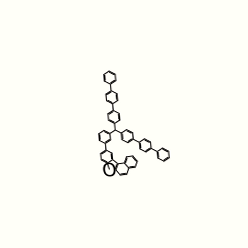 c1ccc(-c2ccc(-c3ccc(C(c4ccc(-c5ccc(-c6ccccc6)cc5)cc4)c4cccc(-c5ccc6oc7ccc8ccccc8c7c6c5)c4)cc3)cc2)cc1